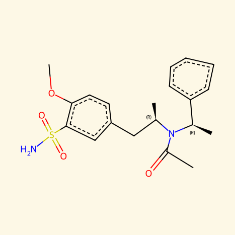 COc1ccc(C[C@@H](C)N(C(C)=O)[C@H](C)c2ccccc2)cc1S(N)(=O)=O